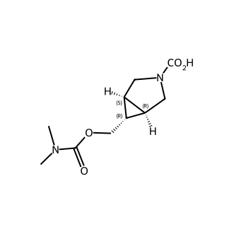 CN(C)C(=O)OC[C@@H]1[C@H]2CN(C(=O)O)C[C@@H]12